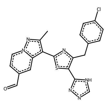 Cc1nn2ccc(C=O)cc2c1-c1nc(Cc2ccc(Cl)cc2)c(-c2nnc[nH]2)s1